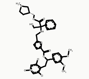 COc1ccc(C(Cc2c(Cl)c[n+]([O-])cc2Cl)OC(=O)c2ccc(CNC(CO)(C(=O)OC[C@@H]3CCN(C)C3)c3ccccc3)s2)cc1OC